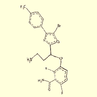 NCCC(Oc1ccc(F)c(C(N)=O)c1F)c1nc(-c2ccc(C(F)(F)F)cc2)c(Br)o1